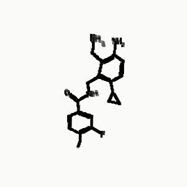 Cc1ccc(C(=O)NCc2c(C3CC3)ccc(N)c2CN)cc1F